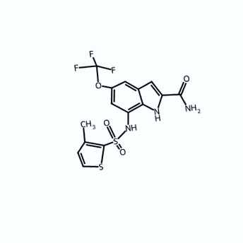 Cc1ccsc1S(=O)(=O)Nc1cc(OC(F)(F)F)cc2cc(C(N)=O)[nH]c12